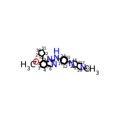 COc1ccc2cnc(Nc3ccc(N4CC5CN(C)CC5C4)cc3)nc2c1C1CCCC1